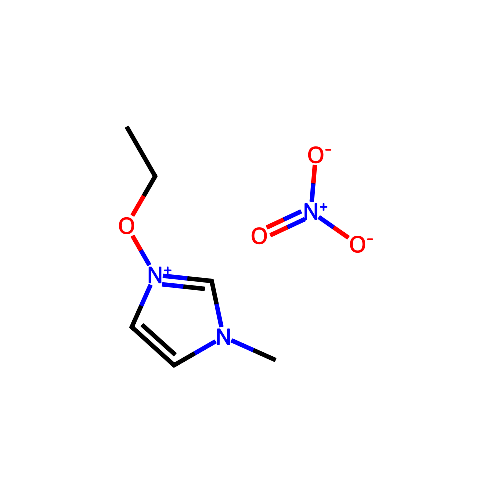 CCO[n+]1ccn(C)c1.O=[N+]([O-])[O-]